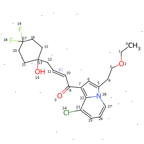 CCOCCc1cc(C(=O)/C=C/CC2(O)CCC(F)(F)CC2)c2c(Cl)cccn12